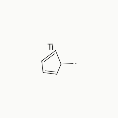 [CH2]C1C=CC=C1.[Ti]